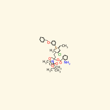 C/C=C(\C=C(\Cl)C(C)CCC1(COC(=O)c2ccccc2N)COC(C)(C)N1C(=O)OC(C)(C)C)Sc1cccc(OCc2ccccc2)c1